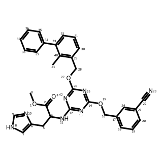 COC(=O)C(Cc1c[nH]cn1)Nc1nc(OCc2cccc(C#N)c2)nc(OCc2cccc(-c3ccccc3)c2C)n1